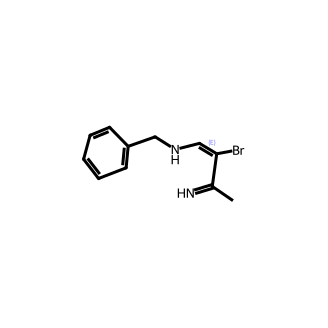 CC(=N)/C(Br)=C\NCc1ccccc1